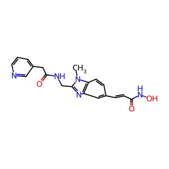 Cn1c(CNC(=O)Cc2cccnc2)nc2cc(/C=C/C(=O)NO)ccc21